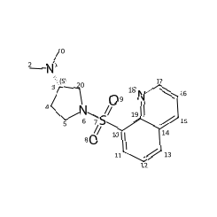 CN(C)[C@H]1CCN(S(=O)(=O)c2cccc3cccnc23)C1